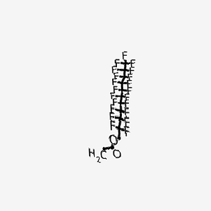 C=CC(=O)OCC(F)(F)C(F)(F)C(F)(F)C(F)(F)C(F)(F)C(F)(F)C(F)(F)C(F)(F)C(F)(F)C(F)(F)F